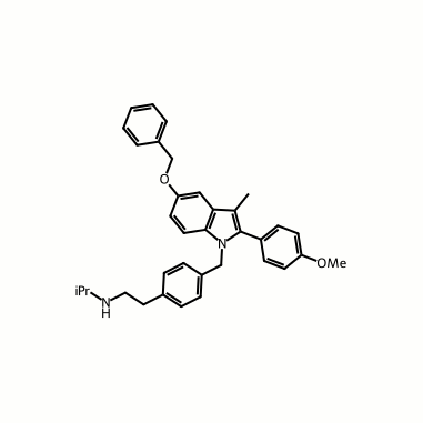 COc1ccc(-c2c(C)c3cc(OCc4ccccc4)ccc3n2Cc2ccc(CCNC(C)C)cc2)cc1